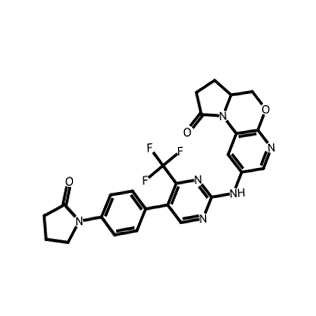 O=C1CCCN1c1ccc(-c2cnc(Nc3cnc4c(c3)N3C(=O)CCC3CO4)nc2C(F)(F)F)cc1